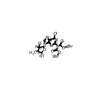 CC[C@H]1O[C@@H](n2cnc3c(Cl)nc(N(C(=O)OC(C)(C)C)C(=O)OC(C)(C)C)nc32)C(F)(Cl)[C@H]1C